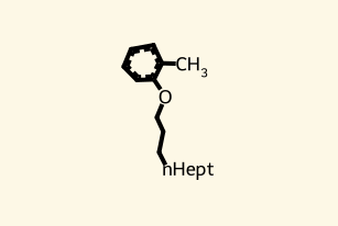 CCCCCCCCCCOc1ccccc1C